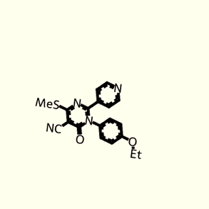 CCOc1ccc(-n2c(-c3ccncc3)nc(SC)c(C#N)c2=O)cc1